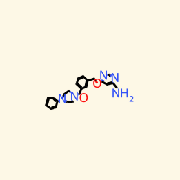 NCc1cc(OCc2cccc(C(=O)N3CCN(c4ccccc4)CC3)c2)ncn1